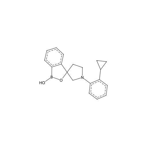 OB1OC2(CCN(c3ccccc3C3CC3)C2)c2ccccc21